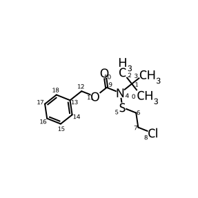 CC(C)(C)N(SCCCl)C(=O)OCc1ccccc1